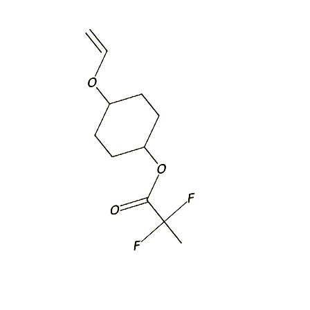 C=COC1CCC(OC(=O)C(C)(F)F)CC1